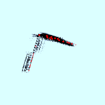 CNC.CNC.CNC.CNC.CNC.CNC.CNC.CNC.CNC.CNC.CNC.CNC.CNC.CNC.CNC.CNC.CNC.CNC.CNC.CNC.CNC.CNC.CNC.CNC.CNC.CNC.CNC.CNC.CNC.CNC.Cl.Cl.Cl.Cl.Cl.Cl.Cl.Cl.Cl.Cl.Cl.Cl.Cl.Cl.Cl.Cl.Cl.Cl.Cl.Cl.Cl.Cl.Cl.Cl.Cl.Cl.Cl.Cl.Cl.Cl.Cl.Cl.Cl.Cl.Cl.Cl.Cl.Cl.Cl.Cl